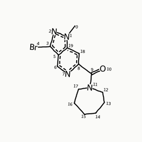 Cn1nc(Br)c2cnc(C(=O)N3CCCCCC3)cc21